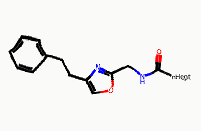 CCCCCCCC(=O)NCc1nc(CCc2ccccc2)co1